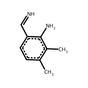 Cc1ccc(C=N)c(N)c1C